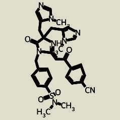 CN(C)S(=O)(=O)c1ccc(CN2C(=O)C(Cc3cncn3C)(Cc3cncn3C)NC2=CC(=O)c2ccc(C#N)cc2)cc1